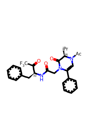 CC(=O)N1C=C(c2ccccc2)N(CC(=O)N[C@@H](Cc2ccccc2)C(=O)C(F)(F)F)C(=O)[C@H]1C(C)C